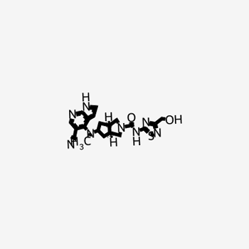 CN(c1c(C#N)cnc2[nH]ccc12)C1C[C@@H]2CN(C(=O)Nc3nc(CO)ns3)C[C@@H]2C1